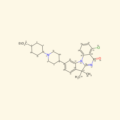 CCOC(=O)C1CCC(N2CCC(c3ccc4c(c3)-n3c(nc(=O)c5c(Cl)cccc53)C4(C)C)CC2)CC1